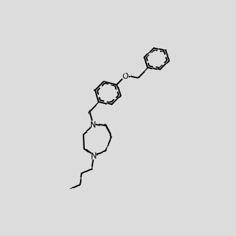 CCCCN1CCCN(Cc2ccc(OCc3ccccc3)cc2)CC1